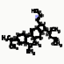 COC[C@H](C)n1cc(/C=N/O)c2nc(-c3ccc(C(C)C)nc3OC)c(C)cc21